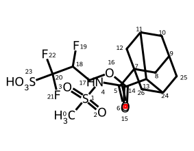 CS(=O)(=O)NC(=O)C12CC3CC(C1)C(C(=O)OCC(F)C(F)(F)S(=O)(=O)O)C(C3)C2